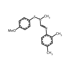 COc1ccc(SN(C)C=Nc2ccc(C)cc2C)cc1